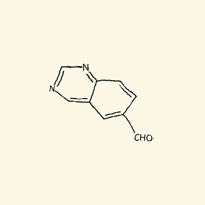 O=[C]c1ccc2ncncc2c1